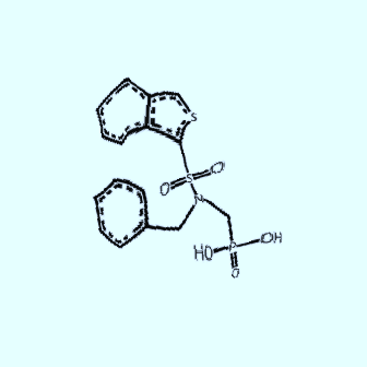 O=P(O)(O)CN(Cc1ccccc1)S(=O)(=O)c1scc2ccccc12